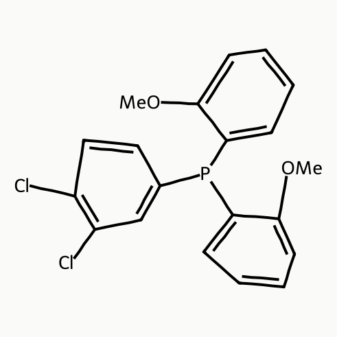 COc1ccccc1P(c1ccc(Cl)c(Cl)c1)c1ccccc1OC